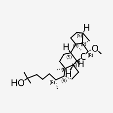 CO[C@@H]1C[C@H]2[C@@H]3CC[C@H]([C@H](C)CCCC(C)(C)O)[C@@]3(C)CC[C@@H]2[C@@]2(C)CC[C@H]3C[C@]312